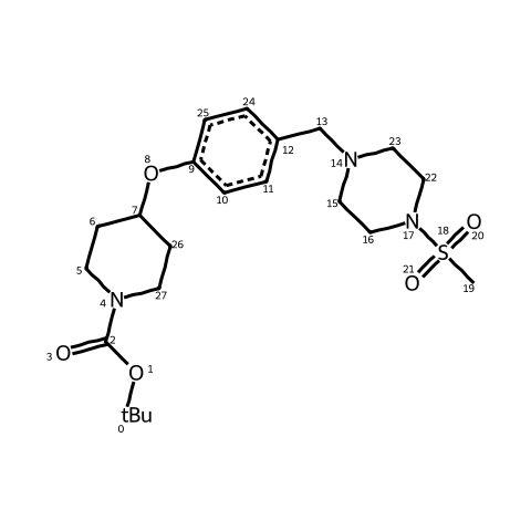 CC(C)(C)OC(=O)N1CCC(Oc2ccc(CN3CCN(S(C)(=O)=O)CC3)cc2)CC1